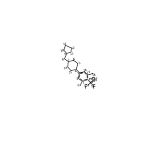 Cc1cc(C2CCC(CC3CCCC3)CC2)cc(C)c1C(F)(F)Br